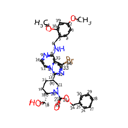 COc1ccc(CNc2nccn3c([C@@H]4CC[C@@H](CO)N(C(=O)OCc5ccccc5)C4)nc(Br)c23)c(OC)c1